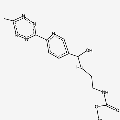 Cc1nnc(-c2ccc(C(O)NCCNC(=O)OC(C)(C)C)cn2)nn1